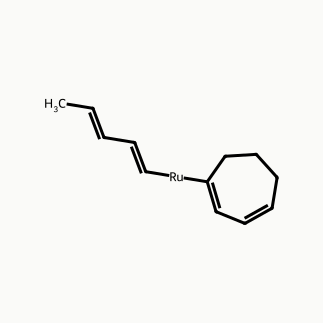 C/C=C/C=[CH]/[Ru][C]1=CC=CCCC1